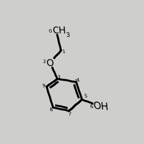 CCOc1[c]c(O)ccc1